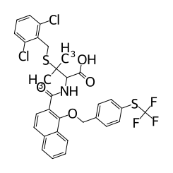 CC(C)(SCc1c(Cl)cccc1Cl)C(NC(=O)c1ccc2ccccc2c1OCc1ccc(SC(F)(F)F)cc1)C(=O)O